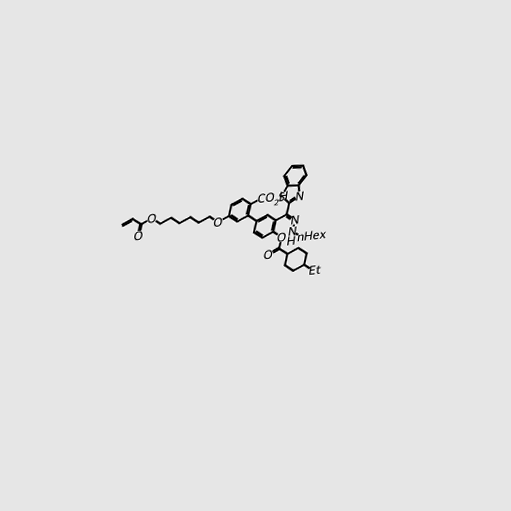 C=CC(=O)OCCCCCCOc1ccc(C(=O)O)c(-c2ccc(OC(=O)C3CCC(CC)CC3)c(C(=NNCCCCCC)c3nc4ccccc4s3)c2)c1